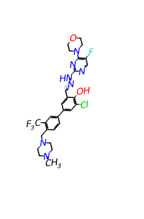 CN1CCN(Cc2ccc(-c3cc(Cl)c(O)c(/C=N/Nc4ncc(F)c(N5CCOCC5)n4)c3)cc2C(F)(F)F)CC1